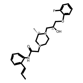 CC=Cc1ccccc1NC(=O)CN1CCN(C[C@H](O)COc2ccccc2F)[C@@H](C)C1